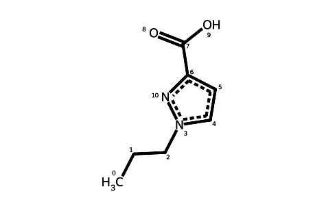 CCCn1ccc(C(=O)O)n1